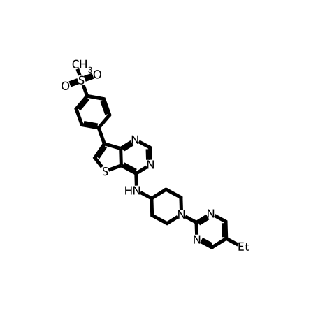 CCc1cnc(N2CCC(Nc3ncnc4c(-c5ccc(S(C)(=O)=O)cc5)csc34)CC2)nc1